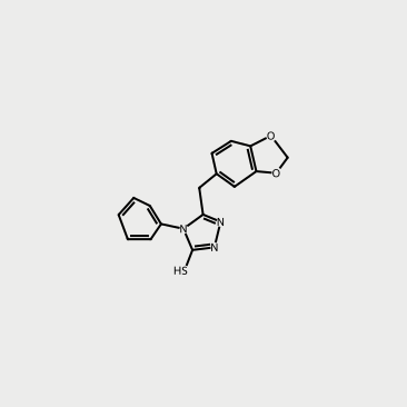 Sc1nnc(Cc2ccc3c(c2)OCO3)n1-c1ccccc1